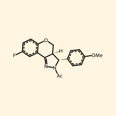 COc1ccc([C@H]2[C@@H]3COc4ccc(F)cc4C3=NN2C(C)=O)cc1